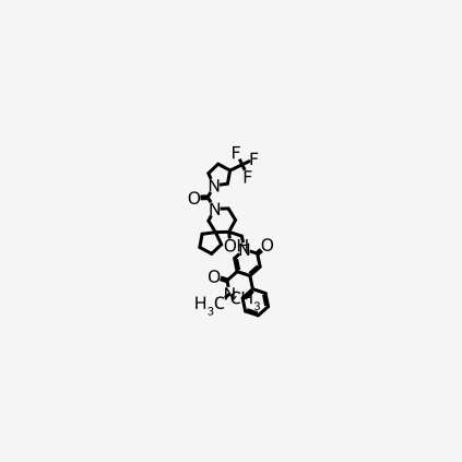 CN(C)C(=O)c1cn(CC2(O)CCN(C(=O)N3CCC(C(F)(F)F)C3)CC23CCCC3)c(=O)cc1-c1ccccc1